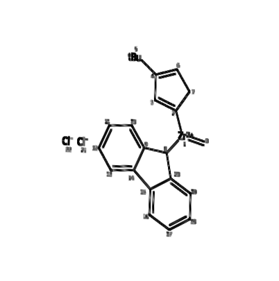 [CH2]=[Zr+2]([C]1=CC(C(C)(C)C)=CC1)[CH]1c2ccccc2-c2ccccc21.[Cl-].[Cl-]